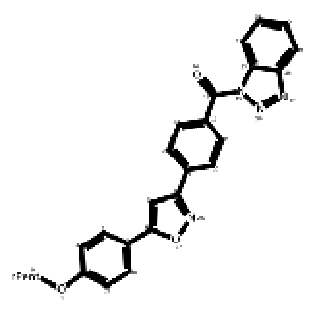 CCCCCOc1ccc(-c2cc(-c3ccc(C(=O)n4nnc5ccccc54)cc3)no2)cc1